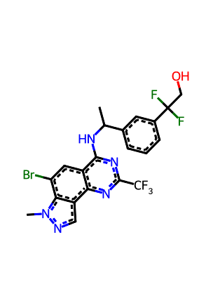 CC(Nc1nc(C(F)(F)F)nc2c1cc(Br)c1c2cnn1C)c1cccc(C(F)(F)CO)c1